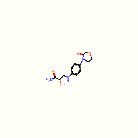 NC(=O)[C@H](O)CNc1ccc(N2CCOCC2=O)cc1